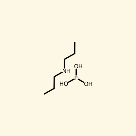 CCCNCCC.OP(O)O